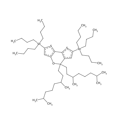 CCC[CH2][Sn]([CH2]CCC)([CH2]CCC)[c]1cc2c(s1)-c1s[c]([Sn]([CH2]CCC)([CH2]CCC)[CH2]CCC)cc1C(CCC(C)CCCC(C)C)(CCC(C)CCCC(C)C)O2